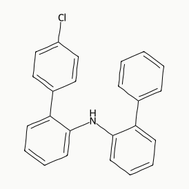 Clc1ccc(-c2ccccc2Nc2ccccc2-c2ccccc2)cc1